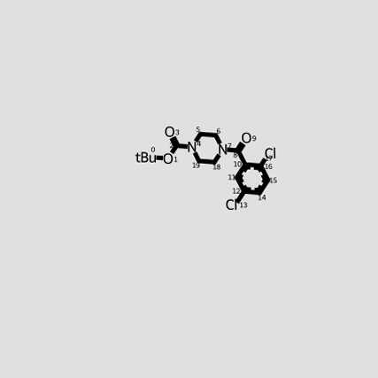 CC(C)(C)OC(=O)N1CCN(C(=O)c2cc(Cl)ccc2Cl)CC1